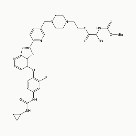 CC(C)C(NC(=O)OC(C)(C)C)C(=O)OCCN1CCN(Cc2ccc(-c3cc4nccc(Oc5ccc(NC(=O)NC6CC6)cc5F)c4s3)nc2)CC1